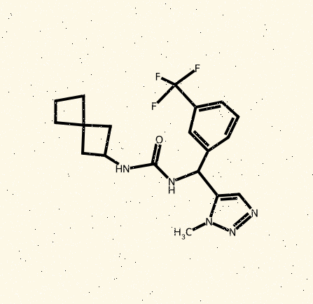 Cn1nncc1C(NC(=O)NC1CC2(CCC2)C1)c1cccc(C(F)(F)F)c1